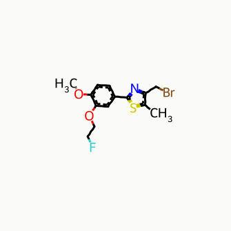 COc1ccc(-c2nc(CBr)c(C)s2)cc1OCCF